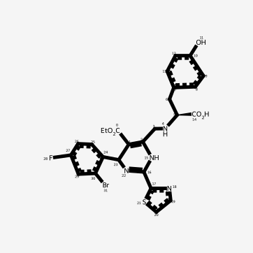 CCOC(=O)C1=C(CN[C@@H](Cc2ccc(O)cc2)C(=O)O)NC(c2nccs2)=NC1c1ccc(F)cc1Br